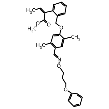 CC=C(C(=O)OC)c1ccccc1COc1cc(C)c(C=NOCCCOc2ccccc2)cc1C